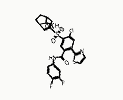 CC1(O)C2CCC1CC(S(=O)(=O)c1cc(C(=O)Nc3ccc(F)c(F)c3)c(-c3nccs3)cc1Cl)C2